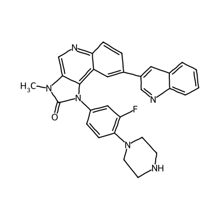 Cn1c(=O)n(-c2ccc(N3CCNCC3)c(F)c2)c2c3cc(-c4cnc5ccccc5c4)ccc3ncc21